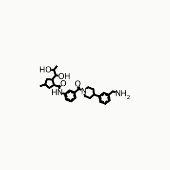 CC1CC(C(=O)Nc2cccc(C(=O)N3CCC(c4cccc(CN)c4)CC3)c2)C(C(O)C(C)O)C1